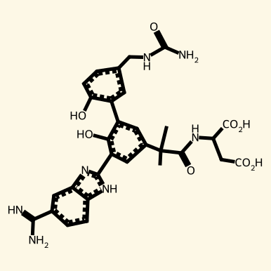 CC(C)(C(=O)NC(CC(=O)O)C(=O)O)c1cc(-c2nc3cc(C(=N)N)ccc3[nH]2)c(O)c(-c2cc(CNC(N)=O)ccc2O)c1